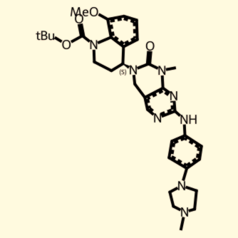 COc1cccc2c1N(C(=O)OC(C)(C)C)CC[C@@H]2N1Cc2cnc(Nc3ccc(N4CCN(C)CC4)cc3)nc2N(C)C1=O